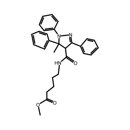 COC(=O)CCCCNC(=O)C1C(c2ccccc2)=NN(c2ccccc2)C1(C)c1ccccc1